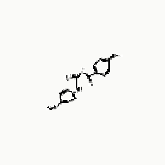 C=C(NC(=O)c1ccc(C(C)(C)C)cc1)Nc1ccc(OC)cc1